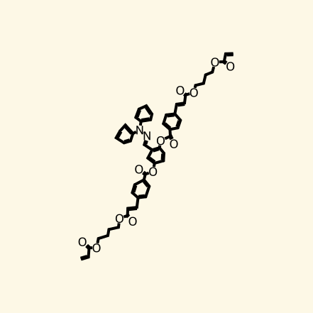 C=CC(=O)OCCCCOC(=O)/C=C/c1ccc(C(=O)Oc2ccc(OC(=O)c3ccc(/C=C/C(=O)OCCCCOC(=O)C=C)cc3)c(/C=N/N(c3ccccc3)c3ccccc3)c2)cc1